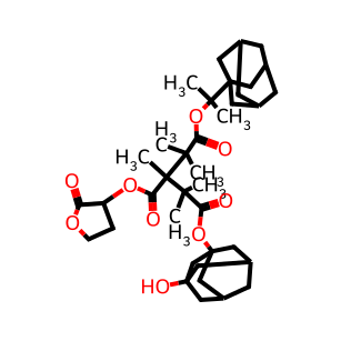 CC(C)(OC(=O)C(C)(C)C(C)(C(=O)OC1CCOC1=O)C(C)(C)C(=O)OC12CC3CC(CC(O)(C3)C1)C2)C12CC3CC(CC(C3)C1)C2